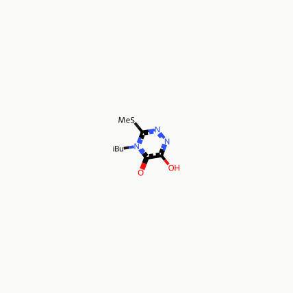 CCC(C)n1c(SC)nnc(O)c1=O